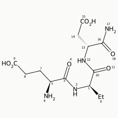 CC[C@@H](NC(=O)[C@@H](N)CCC(=O)O)C(=O)N[C@H](CC(=O)O)C(N)=O